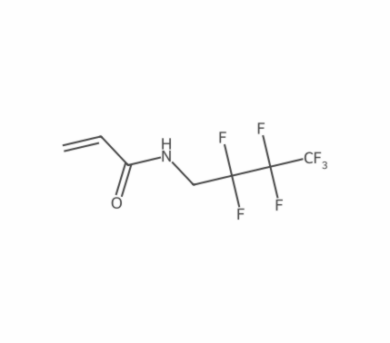 C=CC(=O)NCC(F)(F)C(F)(F)C(F)(F)F